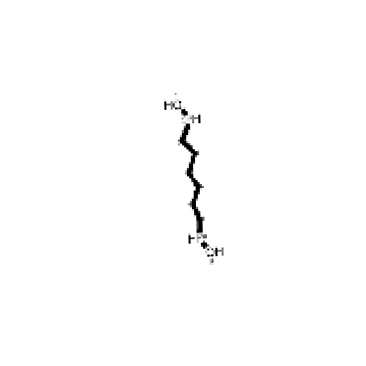 OPCCCCCCPO